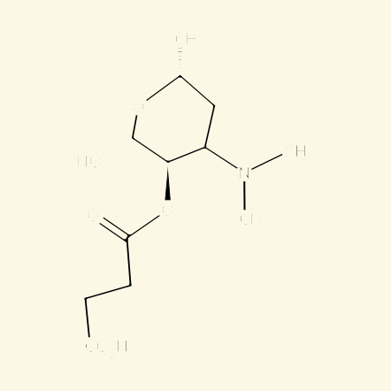 C[C@@H]1CC(N(C)C)[C@@H](OC(=O)CCC(=O)O)[C@H](O)O1